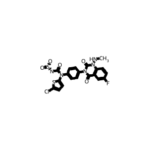 CNn1c(=O)n(-c2ccc(N(C(=O)N=S(=O)=O)c3ccc(Cl)s3)cc2)c(=O)c2cc(F)ccc21